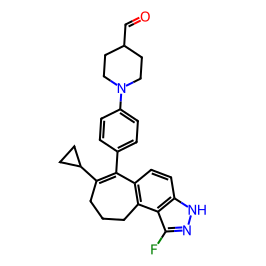 O=CC1CCN(c2ccc(C3=C(C4CC4)CCCc4c3ccc3[nH]nc(F)c43)cc2)CC1